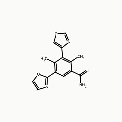 Cc1c(C(N)=O)cc(-c2ncco2)c(C)c1-c1cocn1